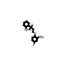 CC(C)(C)c1cc(F)ccc1OCCC(C)(C)c1ccccc1O